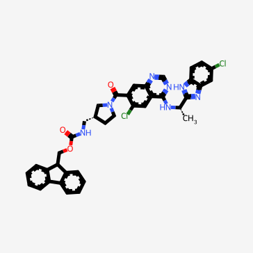 C[C@H](Nc1ncnc2cc(C(=O)N3CC[C@H](CNC(=O)OCC4c5ccccc5-c5ccccc54)C3)c(Cl)cc12)c1nc2cc(Cl)ccc2[nH]1